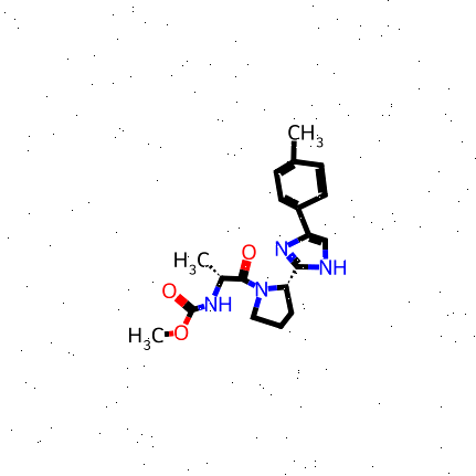 COC(=O)N[C@H](C)C(=O)N1CCC[C@H]1c1nc(-c2ccc(C)cc2)c[nH]1